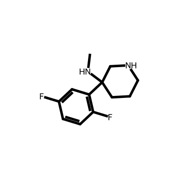 CNC1(c2cc(F)ccc2F)CCCNC1